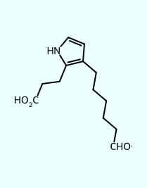 O=[C]CCCCCc1cc[nH]c1CCC(=O)O